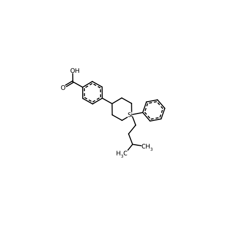 CC(C)CC[Si]1(c2ccccc2)CCC(c2ccc(C(=O)O)cc2)CC1